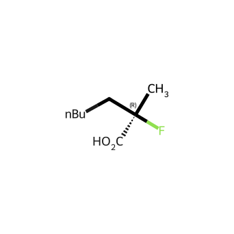 CCCCC[C@@](C)(F)C(=O)O